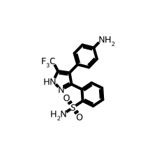 Nc1ccc(-c2c(-c3ccccc3S(N)(=O)=O)n[nH]c2C(F)(F)F)cc1